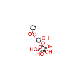 O=C(OCc1ccc(O[C@@H]2O[C@H](CO)[C@@H](O)[C@H](O)[C@H]2O)c(O)c1)c1ccccc1